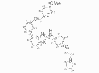 COc1ccc(COc2cccc(-c3cccc4nc(Nc5ccc(OCCN6CCCC6)cc5)nn34)c2)cc1